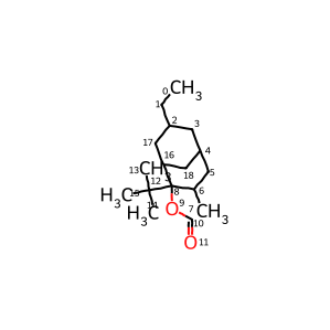 CCC1CC2CC(C)C(OC=O)(C(C)(C)C)C(C1)C2